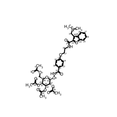 CC(=O)OC[C@H]1O[C@@H](ONC(=O)c2ccc(OCCNC(=O)c3oc4ccccc4c3CN(C)C)cc2)[C@H](OC(C)=O)[C@@H](OC(C)=O)[C@H]1OC(C)=O